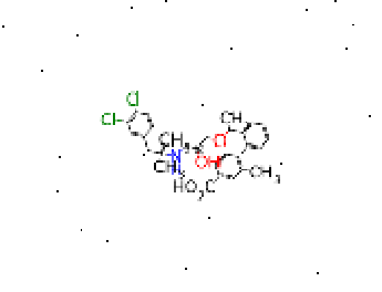 Cc1cc(C(=O)O)ccc1-c1ccccc1C(C)OC[C@@H](O)CNC(C)(C)Cc1ccc(Cl)c(Cl)c1